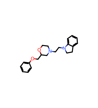 c1ccc(OCC2CN(CCN3CCc4ccccc43)CCO2)cc1